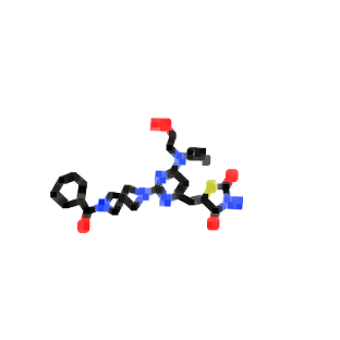 CN(CCO)c1cc(/C=C2\SC(=O)NC2=O)nc(N2CC3(CN(C(=O)c4ccccc4)C3)C2)n1